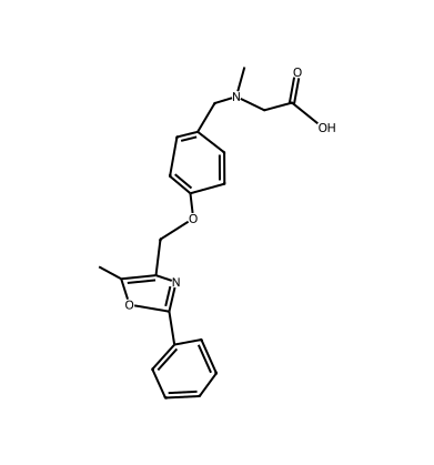 Cc1oc(-c2ccccc2)nc1COc1ccc(CN(C)CC(=O)O)cc1